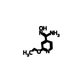 CCOc1cc(/C(N)=N/O)ccn1